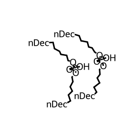 CCCCCCCCCCCCCCCCOP(=O)(O)OCCCCCCCCCCCCCCCC.CCCCCCCCCCCCCCCCOP(=O)(O)OCCCCCCCCCCCCCCCC